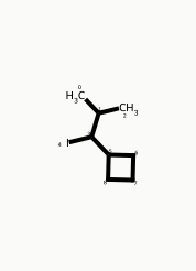 CC(C)C(I)C1CCC1